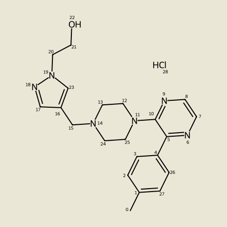 Cc1ccc(-c2nccnc2N2CCN(Cc3cnn(CCO)c3)CC2)cc1.Cl